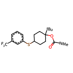 CNC(=O)OC1(C(C)(C)C)CCC(Sc2cccc(C(F)(F)F)c2)CC1